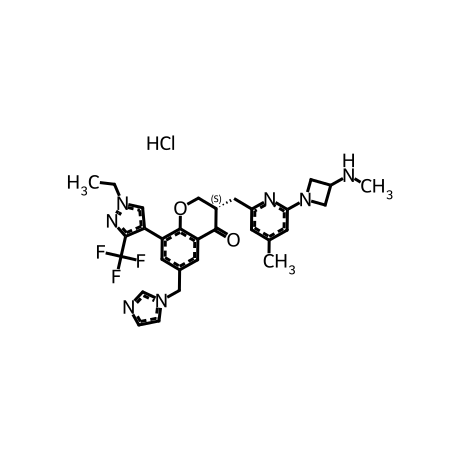 CCn1cc(-c2cc(Cn3ccnc3)cc3c2OC[C@H](Cc2cc(C)cc(N4CC(NC)C4)n2)C3=O)c(C(F)(F)F)n1.Cl